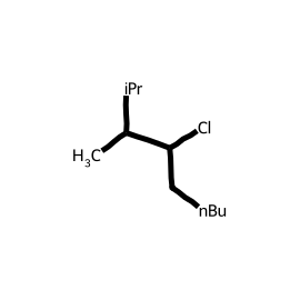 CCCCCC(Cl)C(C)C(C)C